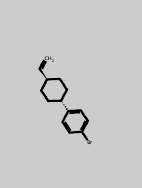 C=C[C@H]1CC[C@H](c2ccc(Br)cc2)CC1